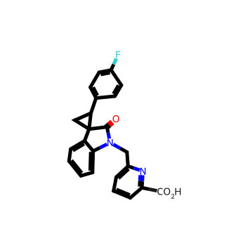 O=C(O)c1cccc(CN2C(=O)C3(CC3c3ccc(F)cc3)c3ccccc32)n1